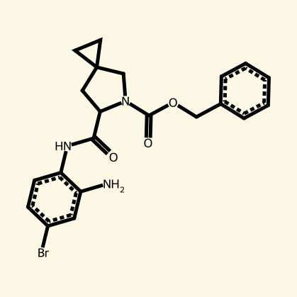 Nc1cc(Br)ccc1NC(=O)C1CC2(CC2)CN1C(=O)OCc1ccccc1